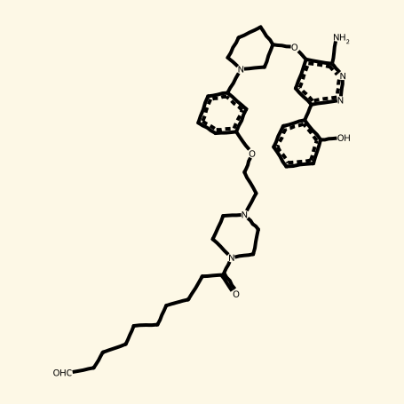 Nc1nnc(-c2ccccc2O)cc1OC1CCCN(c2cccc(OCCN3CCN(C(=O)CCCCCCCCC=O)CC3)c2)C1